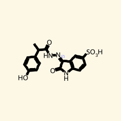 CC(C(=O)N/N=C1\C(=O)Nc2ccc(S(=O)(=O)O)cc21)c1ccc(O)cc1